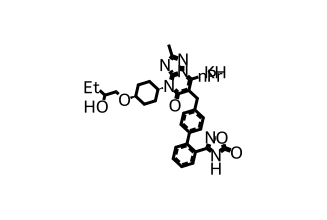 CCCc1c(Cc2ccc(-c3ccccc3-c3noc(=O)[nH]3)cc2)c(=O)n([C@H]2CC[C@H](OCC(O)CC)CC2)c2nc(C)nn12.[KH]